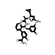 CC(C(=O)N[C@@H](Cc1cc(F)cc(F)c1)c1ncccc1-c1ccc(F)c(C(N)=O)c1)n1nc(C(C)(C)C)cc1C1CC1